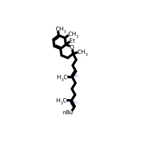 CCCC/C=C(\C)CCC/C(C)=C/CCC1(C)CCC2=CC=C(C)C(C)C2(CC)O1